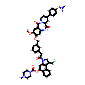 CNSc1ccc(C2=CCN3C(=O)c4cc(OC)c(OCc5cccc(CC(=O)N6CC(CCl)c7c6cc(OC(=O)N6CCN(C)CC6)c6ccccc76)c5)cc4NC(=O)C3C2)cc1